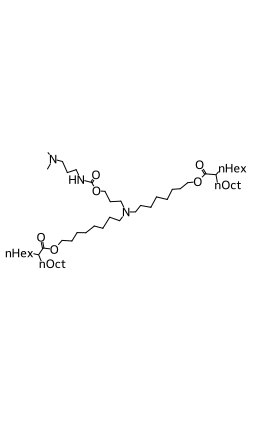 CCCCCCCCC(CCCCCC)C(=O)OCCCCCCCCN(CCCCCCCCOC(=O)C(CCCCCC)CCCCCCCC)CCCOC(=O)NCCCN(C)C